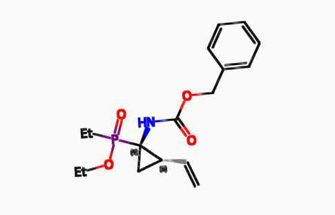 C=C[C@@H]1C[C@]1(NC(=O)OCc1ccccc1)P(=O)(CC)OCC